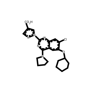 O=C(O)c1cnn(-c2nc(N3CCCC3)c3cc(OC4CCCCC4)c(Cl)cc3n2)c1